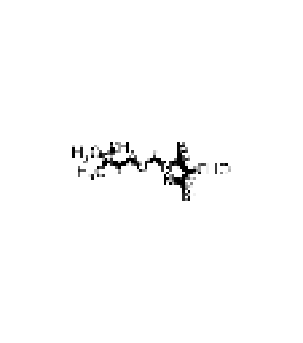 C[Si](C)(C)CCOCn1nc(Br)c(C=O)c1Br